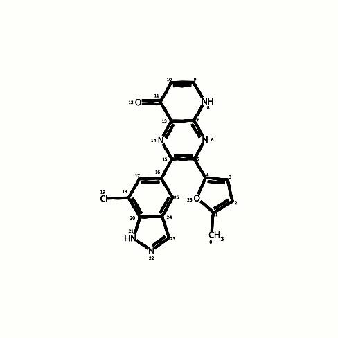 Cc1ccc(-c2nc3[nH]ccc(=O)c3nc2-c2cc(Cl)c3[nH]ncc3c2)o1